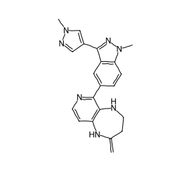 C=C1CCNc2c(ccnc2-c2ccc3c(c2)c(-c2cnn(C)c2)nn3C)N1